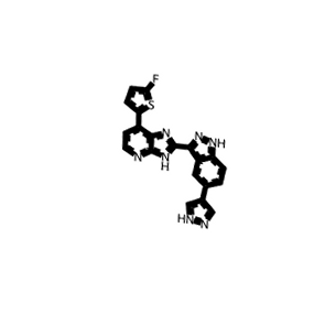 Fc1ccc(-c2ccnc3[nH]c(-c4n[nH]c5ccc(-c6cn[nH]c6)cc45)nc23)s1